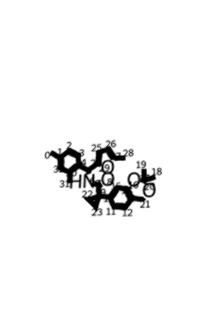 Cc1ccc(C(NC(=O)C2(c3ccc4c(c3)OC(C)(C)OC4)CC2)c2ccc(C)o2)c(C)c1